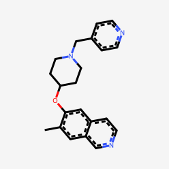 Cc1cc2cnccc2cc1OC1CCN(Cc2ccncc2)CC1